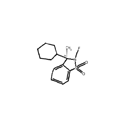 C[C@@]1(C2CCCCC2)c2ccccc2S(=O)(=O)N1F